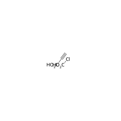 C#CC(=O)O.O=C(O)Cl